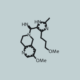 COCCCc1nc(C)[nH]c1C(=N)N1CCc2ncc(OC)cc2C1